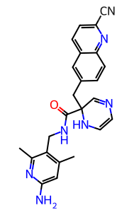 Cc1cc(N)nc(C)c1CNC(=O)C1(Cc2ccc3nc(C#N)ccc3c2)C=NC=CN1